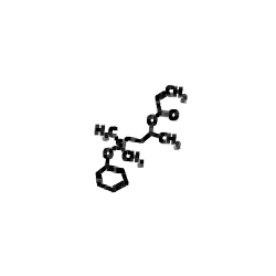 C=CC(=O)OC(C)CC[Si](C)(C)Oc1ccccc1